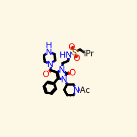 CC(=O)N1CCCC(n2c(-c3ccccc3)c(C(=O)N3CCNCC3)n(CCNS(=O)(=O)CC(C)C)c2=O)C1